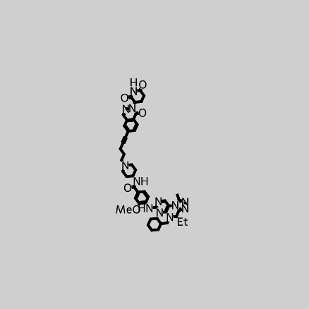 CC[C@@H]1c2nnc(C)n2-c2cnc(Nc3ccc(C(=O)NC4CCN(CCCC#Cc5ccc6c(=O)n(C7CCC(=O)NC7=O)ncc6c5)CC4)cc3OC)nc2N1CC1CCCCC1